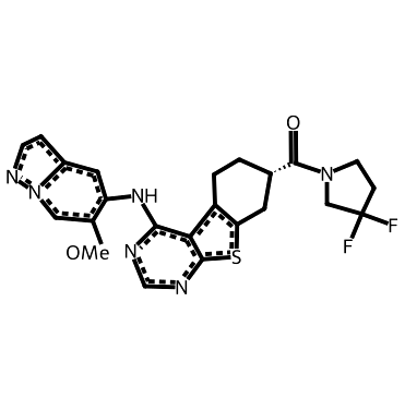 COc1cn2nccc2cc1Nc1ncnc2sc3c(c12)CC[C@H](C(=O)N1CCC(F)(F)C1)C3